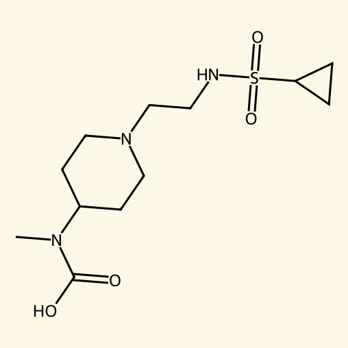 CN(C(=O)O)C1CCN(CCNS(=O)(=O)C2CC2)CC1